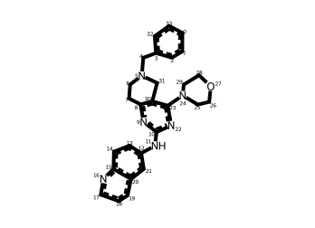 c1ccc(CN2CCc3nc(Nc4ccc5ncccc5c4)nc(N4CCOCC4)c3C2)cc1